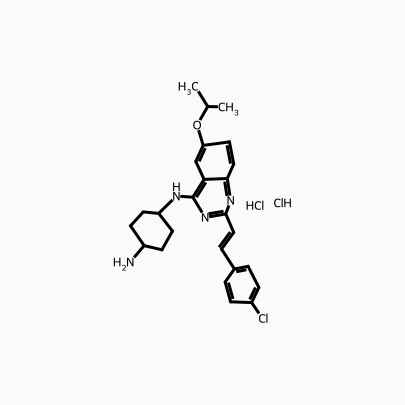 CC(C)Oc1ccc2nc(C=Cc3ccc(Cl)cc3)nc(NC3CCC(N)CC3)c2c1.Cl.Cl